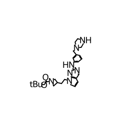 CC(C)(C)OC(=O)N1CC(CCN2CC=Cc3cnc(Nc4cccc(CN5CCNCC5)c4)nc32)C1